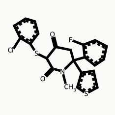 CN1C(=O)C(Sc2ccccc2Cl)C(=O)CC1(c1ccsc1)c1ccccc1F